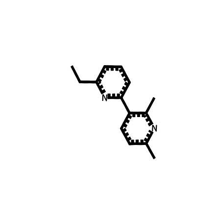 CCc1cccc(-c2ccc(C)nc2C)n1